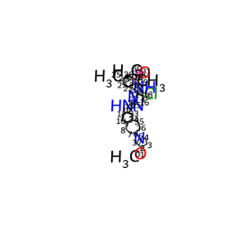 CO[C@H]1CCN([C@@H]2CCc3ccc(Nc4ncc(Cl)c(Nc5ccc(C)cc5P(C)(C)=O)n4)cc3CC2)C1